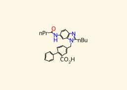 CCCCc1nc2ccc(NC(=O)CCC)cc2n1Cc1ccc(-c2ccccc2)c(C(=O)O)c1